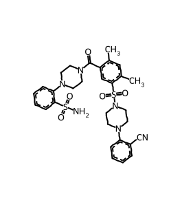 Cc1cc(C)c(S(=O)(=O)N2CCN(c3ccccc3C#N)CC2)cc1C(=O)N1CCN(c2ccccc2S(N)(=O)=O)CC1